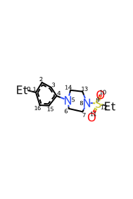 CCc1ccc(N2CCN(S(=O)(=O)CC)CC2)cc1